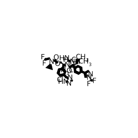 CC(C)(C)C[C@]1(C2(C)C=CC(c3cnn(C(F)F)c3)=CC2)NC(=N)N([C@H](COC(=O)N(CC(F)F)C2CC2)c2ccc(Cl)c(-c3ncn[nH]3)c2)C1=O